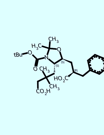 CC(C)(CC(=O)O)C[C@H]1[C@H](C[C@@H](Cc2ccccc2)C(=O)O)OC(C)(C)N1C(=O)OC(C)(C)C